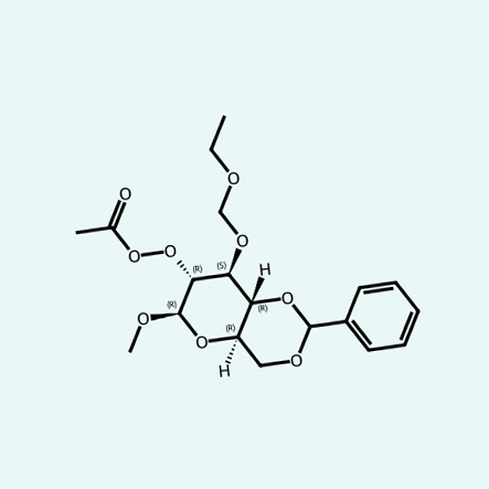 CCOCO[C@@H]1[C@@H](OOC(C)=O)[C@H](OC)O[C@@H]2COC(c3ccccc3)O[C@@H]12